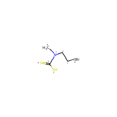 CCCCCCN(C)C(=S)S